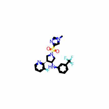 Cn1cnc(S(=O)(=O)N2C[C@@H](Nc3cccc(C(F)(F)F)c3)[C@H](c3ncccc3F)C2)c1